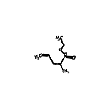 C=CCC(C)[PH](=O)OCC